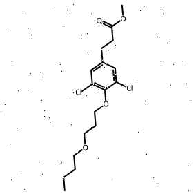 CCCCOCCCOc1c(Cl)cc(CCC(=O)OC)cc1Cl